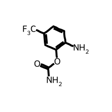 NC(=O)Oc1cc(C(F)(F)F)ccc1N